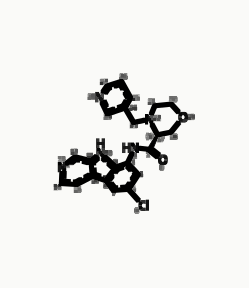 O=C(Nc1cc(Cl)cc2c1[nH]c1cnccc12)[C@@H]1COCCN1Cc1cccnc1